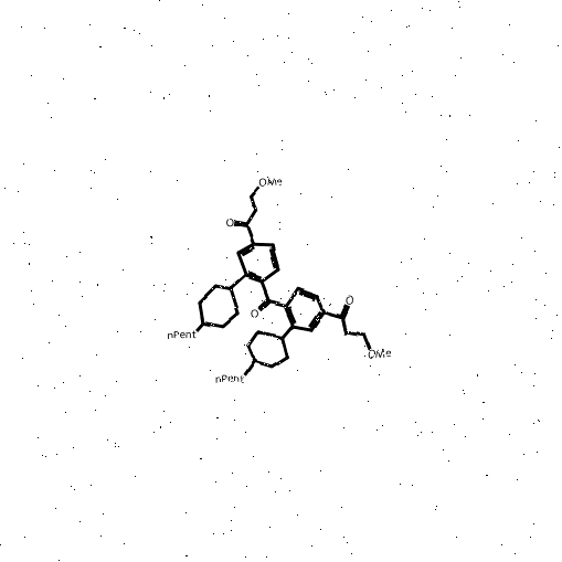 CCCCCC1CCC(c2cc(C(=O)CCOC)ccc2C(=O)c2ccc(C(=O)CCOC)cc2C2CCC(CCCCC)CC2)CC1